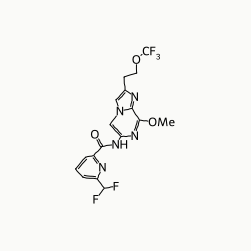 COc1nc(NC(=O)c2cccc(C(F)F)n2)cn2cc(CCOC(F)(F)F)nc12